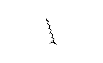 C=CCCCCCCCCC(=C)Cl